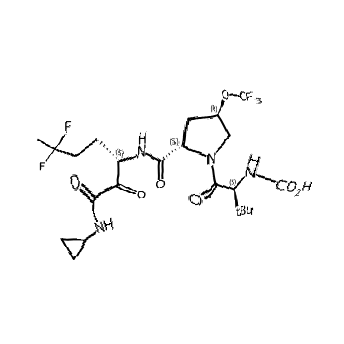 CC(F)(F)CC[C@H](NC(=O)[C@@H]1C[C@@H](OC(F)(F)F)CN1C(=O)[C@@H](NC(=O)O)C(C)(C)C)C(=O)C(=O)NC1CC1